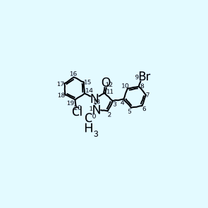 Cn1cc(-c2cccc(Br)c2)c(=O)n1-c1ccccc1Cl